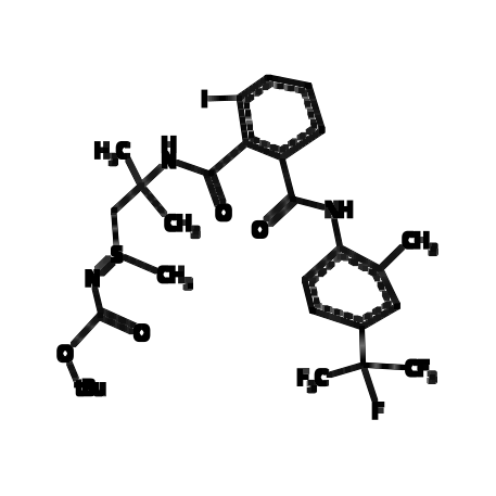 Cc1cc(C(F)(C(F)(F)F)C(F)(F)F)ccc1NC(=O)c1cccc(I)c1C(=O)NC(C)(C)C/S(C)=N/C(=O)OC(C)(C)C